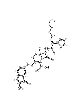 CCCCON=C(C(=O)NC1C(=O)N2C(C(=O)O)=C(CSc3ccc4nn(C)c(=O)n4n3)CS[C@@H]12)c1ccco1